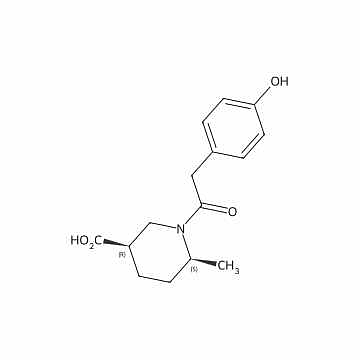 C[C@H]1CC[C@@H](C(=O)O)CN1C(=O)Cc1ccc(O)cc1